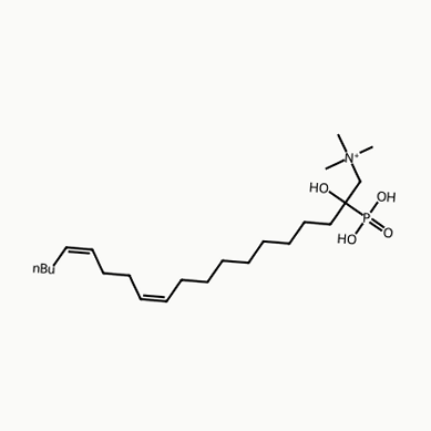 CCCC/C=C\CC/C=C\CCCCCCCCC(O)(C[N+](C)(C)C)P(=O)(O)O